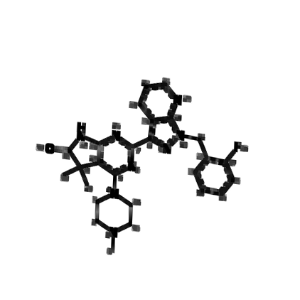 CN1CCN(c2nc(-c3nn(Cc4ccccc4F)c4ncccc34)nc3c2C(C)(C)C(=O)N3)CC1